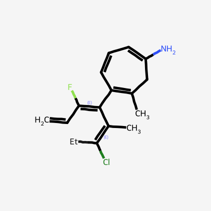 C=C/C(F)=C(C1=C(C)CC(N)=CC=C1)\C(C)=C(\Cl)CC